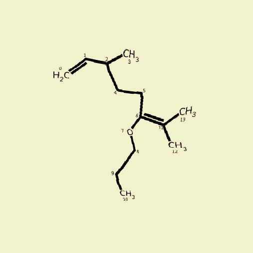 C=CC(C)CCC(OCCC)=C(C)C